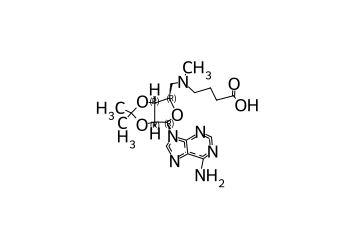 CN(CCCC(=O)O)C[C@H]1O[C@@H](n2cnc3c(N)ncnc32)[C@@H]2OC(C)(C)O[C@@H]21